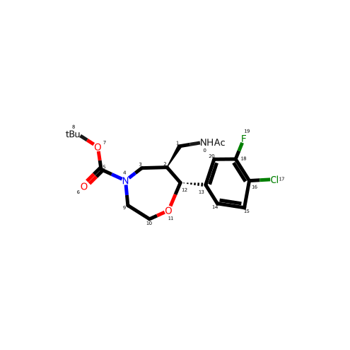 CC(=O)NC[C@@H]1CN(C(=O)OC(C)(C)C)CCO[C@H]1c1ccc(Cl)c(F)c1